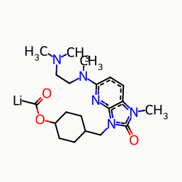 [Li][C](=O)OC1CCC(Cn2c(=O)n(C)c3ccc(N(C)CCN(C)C)nc32)CC1